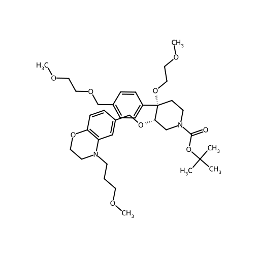 COCCCN1CCOc2ccc(CO[C@H]3CN(C(=O)OC(C)(C)C)CC[C@]3(OCCOC)c3ccc(COCCOC)cc3)cc21